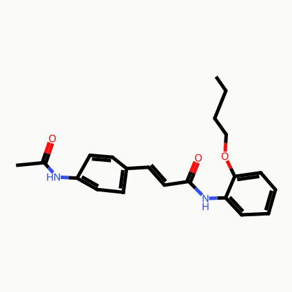 CCCCOc1ccccc1NC(=O)/C=C/c1ccc(NC(C)=O)cc1